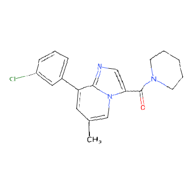 Cc1cc(-c2cccc(Cl)c2)c2ncc(C(=O)N3CCCCC3)n2c1